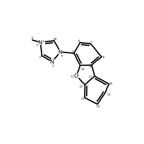 C[n+]1cnn(-c2cccc3c2oc2ccccc23)c1